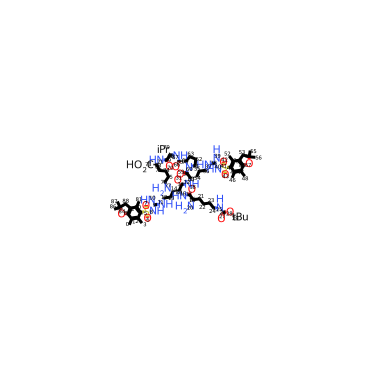 Cc1c(C)c(S(=O)(=O)NC(=N)NCCC[C@H](NC(=O)[C@@H](N)CCCCNC(=O)OC(C)(C)C)C(=O)N[C@@H](CCCNC(=N)NS(=O)(=O)c2c(C)c(C)c3c(c2C)CC(C)(C)O3)C(=O)N2CCC[C@H]2C(=O)N[C@H](C(=O)N[C@@H](CCCCN)C(=O)O)C(C)C)c(C)c2c1OC(C)(C)C2